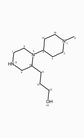 CN1CCC(N2CCNCC2CCCO)CC1